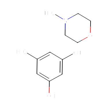 CN1CCOCC1.Cc1cc(C)cc(O)c1